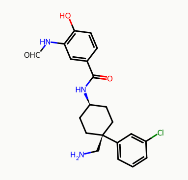 NC[C@]1(c2cccc(Cl)c2)CC[C@H](NC(=O)c2ccc(O)c(NC=O)c2)CC1